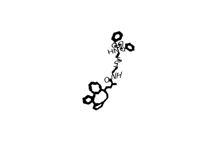 CC(CCC1CCC2CCCC3(CC23)c2ccccc2C2=C/C1=C\C=C/C=C\2)C(=O)NCCSSCCNP(=O)(Oc1ccccc1)Oc1ccccc1